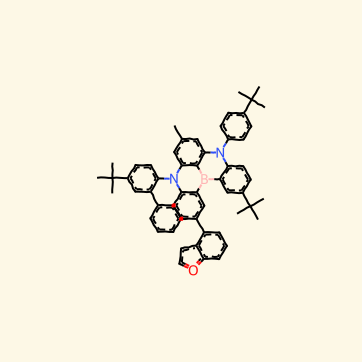 Cc1cc2c3c(c1)N(c1ccc(C(C)(C)C)cc1-c1ccccc1)c1ccc(-c4cccc5occc45)cc1B3c1cc(C(C)(C)C)ccc1N2c1ccc(C(C)(C)C)cc1